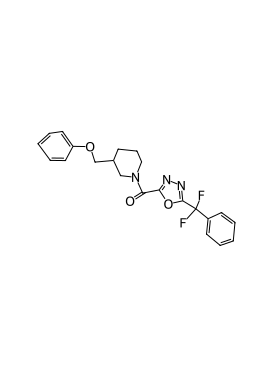 O=C(c1nnc(C(F)(F)c2ccccc2)o1)N1CCCC(COc2ccccc2)C1